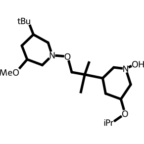 COC1CC(C(C)(C)C)CN(OCC(C)(C)C2CC(OC(C)C)CN(O)C2)C1